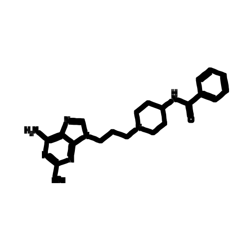 CCCCc1nc(N)c2ncn(CCCN3CCC(NC(=O)c4ccccc4)CC3)c2n1